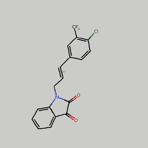 O=C1C(=O)N(C/C=C/c2ccc(Cl)c(C(F)(F)F)c2)c2ccccc21